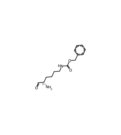 N[C@H]([C]=O)CCCCNC(=O)OCc1ccccc1